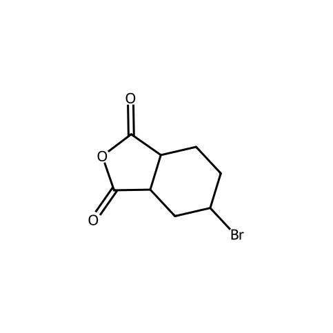 O=C1OC(=O)C2CC(Br)CCC12